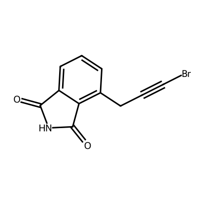 O=C1NC(=O)c2c(CC#CBr)cccc21